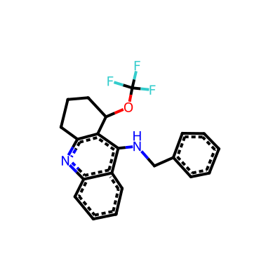 FC(F)(F)OC1CCCc2nc3ccccc3c(NCc3ccccc3)c21